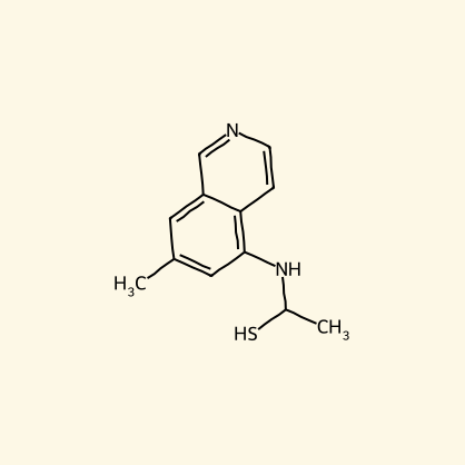 Cc1cc(NC(C)S)c2ccncc2c1